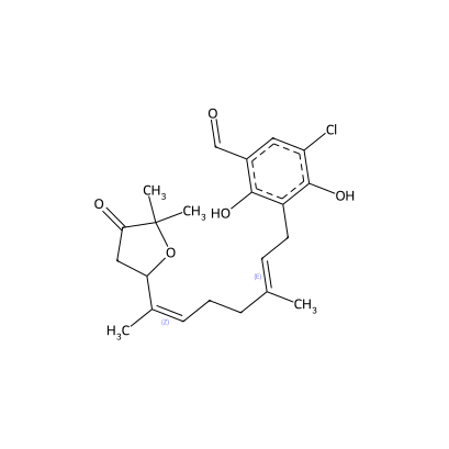 C/C(=C/CC/C(C)=C/Cc1c(O)c(Cl)cc(C=O)c1O)C1CC(=O)C(C)(C)O1